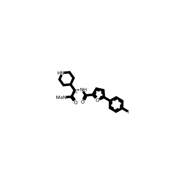 CNC(=O)[C@@H](NC(=O)c1ccc(-c2ccc(I)cc2)o1)C1CCNCC1